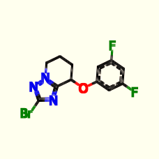 Fc1cc(F)cc(OC2CCCn3nc(Br)nc32)c1